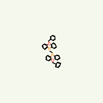 c1ccc(COc2ccccc2[P@](CC[P@](c2ccccc2)c2ccccc2OCc2ccccc2)c2ccccc2)cc1